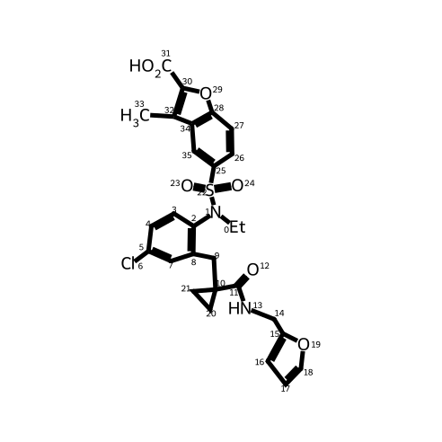 CCN(c1ccc(Cl)cc1CC1(C(=O)NCc2ccco2)CC1)S(=O)(=O)c1ccc2oc(C(=O)O)c(C)c2c1